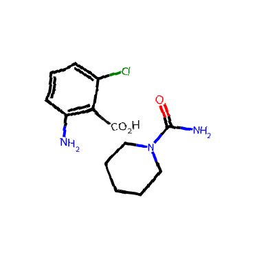 NC(=O)N1CCCCC1.Nc1cccc(Cl)c1C(=O)O